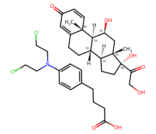 C[C@]12C=CC(=O)C=C1CC[C@@H]1[C@@H]2[C@@H](O)C[C@@]2(C)[C@H]1CC[C@]2(O)C(=O)CO.O=C(O)CCCc1ccc(N(CCCl)CCCl)cc1